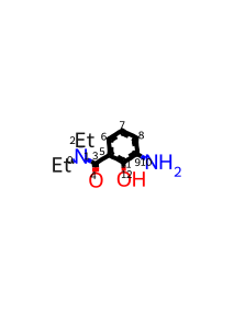 CCN(CC)C(=O)c1cccc(N)c1O